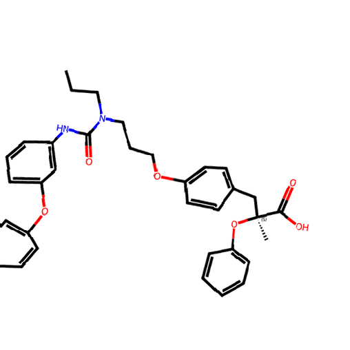 CCCN(CCCOc1ccc(C[C@](C)(Oc2ccccc2)C(=O)O)cc1)C(=O)Nc1cccc(Oc2ccccc2)c1